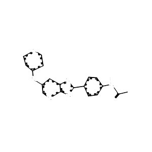 CC(=O)Nc1ccc(-c2nc3cc(Nc4ccncc4)cnc3[nH]2)cc1